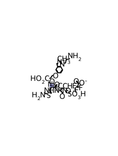 C[n+]1cc2cc(OCC(O/N=C(\C(=O)N[C@@H]3C(=O)N(OS(=O)(=O)O)C3(C)C)c3csc(N)n3)C(=O)O)ccc2n1CCCN.O=C([O-])C(F)(F)F